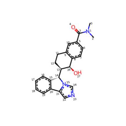 CN(C)C(=O)c1ccc2c(c1)CC[C@H]([C@H]1c3ccccc3-c3cncn31)[C@@H]2O